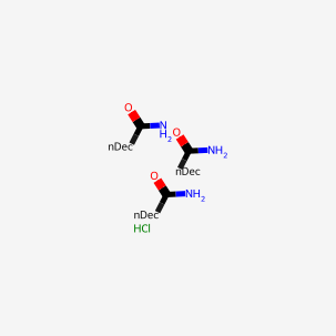 CCCCCCCCCCC(N)=O.CCCCCCCCCCC(N)=O.CCCCCCCCCCC(N)=O.Cl